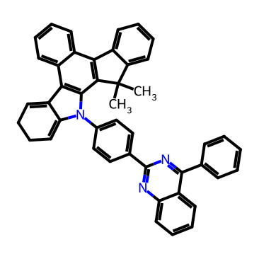 CC1(C)c2ccccc2-c2c1c1c(c3c(n1-c1ccc(-c4nc(-c5ccccc5)c5ccccc5n4)cc1)=CCCC=3)c1ccccc21